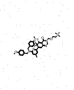 COc1ccc(CN(Cc2ccc(OC)cc2)c2cc(C)cc(C3=CC4=NCN(COCC[Si](C)(C)C)C(=O)C4=C(F)C3(F)Cl)n2)cc1